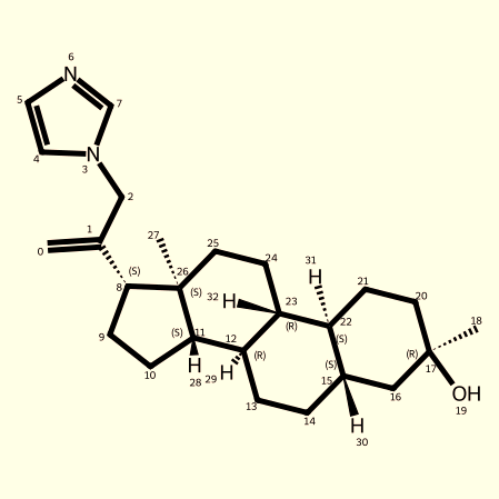 C=C(Cn1ccnc1)[C@H]1CC[C@H]2[C@@H]3CC[C@H]4C[C@](C)(O)CC[C@@H]4[C@H]3CC[C@]12C